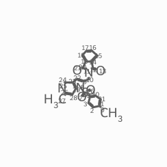 Cc1ccc(S(=O)(=O)n2c(CN3C(=O)c4ccccc4C3=O)cc3cnc(C)cc32)cc1